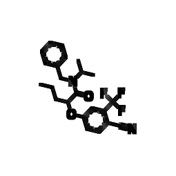 CCCC(Oc1ccc(C#N)c(C(F)(F)F)c1)C(=O)N(Cc1ccccc1)C(C)C